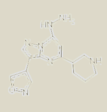 NNc1cc(C2CCCNC2)nc2c(-c3cnoc3)cnn12